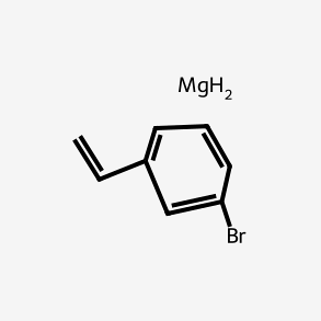 C=Cc1cccc(Br)c1.[MgH2]